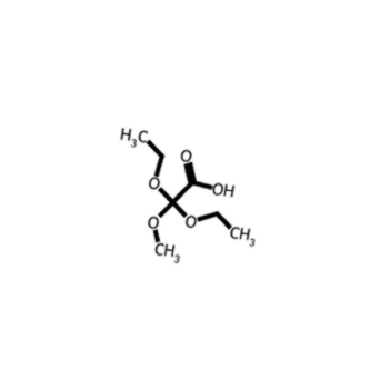 CCOC(OC)(OCC)C(=O)O